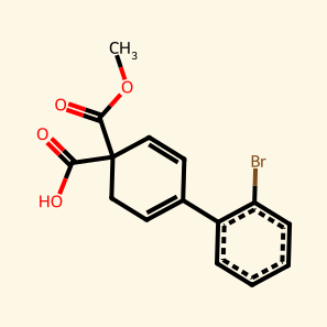 COC(=O)C1(C(=O)O)C=CC(c2ccccc2Br)=CC1